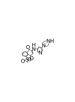 CS(=O)(=O)c1cccc2c1C(=O)C=C(Nc1cncc(N3CCNCC3)c1)C2=O